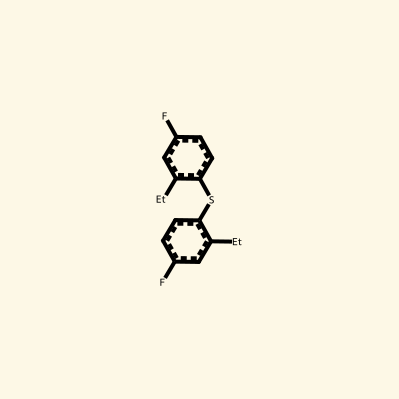 CCc1cc(F)ccc1Sc1ccc(F)cc1CC